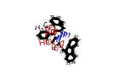 COc1ccccc1C[C@@H](C(=O)O)N(NC(Cc1ccccc1)C(=O)O)C(=O)OCC1c2ccccc2-c2ccccc21